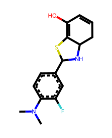 CN(C)c1ccc(C2NC3CC=CC(O)=C3S2)cc1F